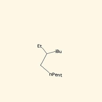 [CH2]CCCCCC(CC)C(C)C[CH2]